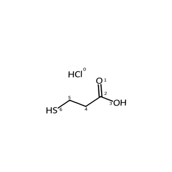 Cl.O=C(O)CCS